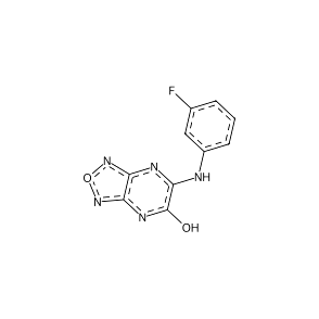 Oc1nc2nonc2nc1Nc1cccc(F)c1